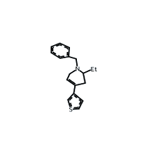 CCC1CC(c2ccsc2)=CCN1Cc1ccccc1